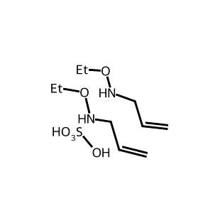 C=CCNOCC.C=CCNOCC.O=S(=O)(O)O